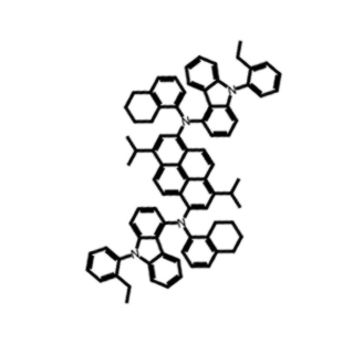 CCc1ccccc1-n1c2ccccc2c2c(N(c3cccc4c3CCCC4)c3cc(C(C)C)c4ccc5c(N(c6cccc7c6CCCC7)c6cccc7c6c6ccccc6n7-c6ccccc6CC)cc(C(C)C)c6ccc3c4c65)cccc21